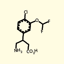 NCC(CC(=O)O)c1ccc(Cl)c(OC(F)F)c1